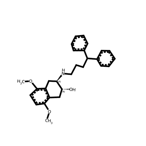 COc1ccc(OC)c2c1C[C@@H](O)[C@H](NCCCC(c1ccccc1)c1ccccc1)C2